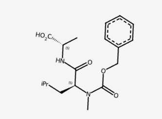 CC(C)C[C@@H](C(=O)N[C@@H](C)C(=O)O)N(C)C(=O)OCc1ccccc1